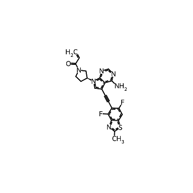 C=CC(=O)N1CC[C@H](n2cc(C#Cc3c(F)cc4sc(C)nc4c3F)c3c(N)ncnc32)C1